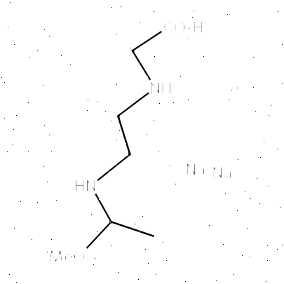 COC(C)NCCNCC(=O)O.[Na].[Na]